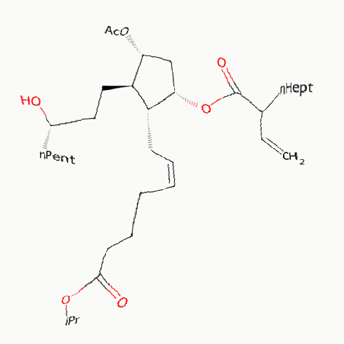 C=CC(CCCCCCC)C(=O)O[C@H]1C[C@@H](OC(C)=O)[C@H](CC[C@@H](O)CCCCC)[C@H]1C/C=C\CCCC(=O)OC(C)C